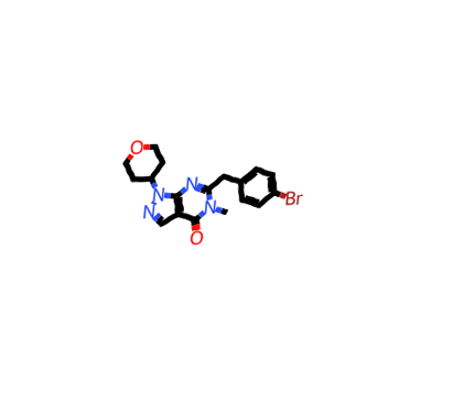 Cn1c(Cc2ccc(Br)cc2)nc2c(cnn2C2CCOCC2)c1=O